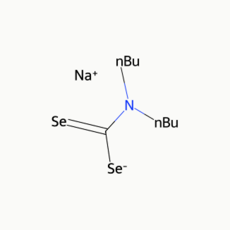 CCCCN(CCCC)C(=[Se])[Se-].[Na+]